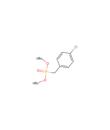 CCCCOP(=O)(Cc1ccc(Cl)cc1)OCCCC